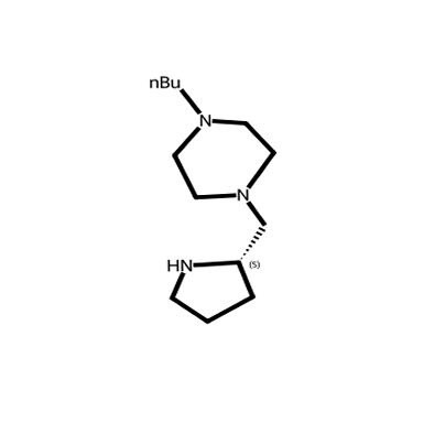 CCCCN1CCN(C[C@@H]2CCCN2)CC1